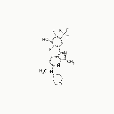 Cc1nn(-c2cc(C(F)(F)F)c(F)c(O)c2F)c2ccc(N(C)C3CCOCC3)nc12